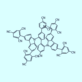 N#Cc1cc(C#N)c(-c2ccc3c(c2)c2cc(-c4c(C#N)cc(C#N)cc4C#N)ccc2n3-c2cc(C#N)ccc2-c2ccc(-c3ccc(C#N)cc3C(F)(F)F)cc2-n2c3ccc(-c4c(C#N)cc(C#N)cc4C#N)cc3c3cc(-c4c(C#N)cc(C#N)cc4C#N)ccc32)c(C#N)c1